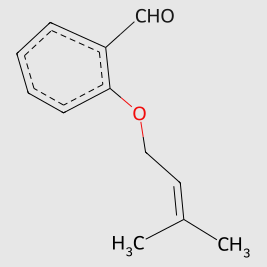 CC(C)=CCOc1ccccc1C=O